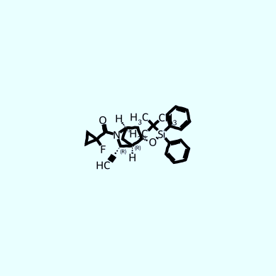 C#C[C@H]1[C@H]2C[C@H](C[C@@H]2O[Si](c2ccccc2)(c2ccccc2)C(C)(C)C)N1C(=O)C1(F)CC1